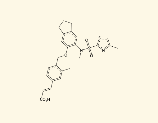 Cc1csc(S(=O)(=O)N(C)c2cc3c(cc2OCc2ccc(C=CC(=O)O)cc2C)CCC3)n1